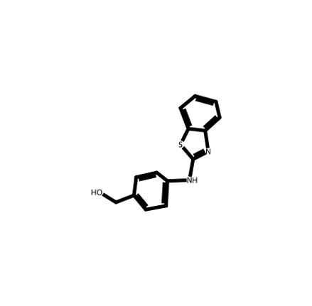 OCc1ccc(Nc2nc3ccccc3s2)cc1